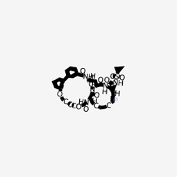 O=C1N[C@H]2CCCCC/C=C\[C@@H]3C[C@@]3(C(=O)NS(=O)(=O)C3CC3)NC(=O)[C@@H]3C[C@H](CN3C2=O)NC(=O)c2cccc(c2)-c2cccc(c2)OCCCCO1